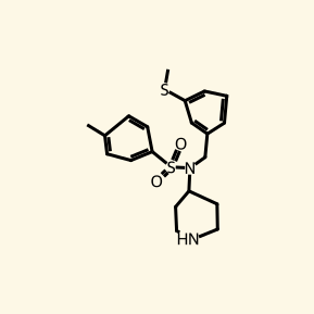 CSc1cccc(CN(C2CCNCC2)S(=O)(=O)c2ccc(C)cc2)c1